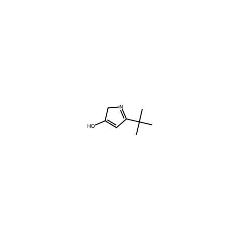 CC(C)(C)C1=NCC(O)=C1